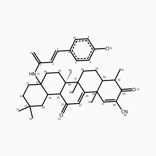 C=C(/C=C/c1ccc(Cl)cc1)NC12CCC(C)(C)CC1C1C(=O)C=C3C4(C)C=C(C#N)C(=O)C(C)C4CCC3(C)[C@]1(C)CC2